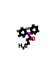 CCCC(=O)P(c1ccccc1)c1ccccc1